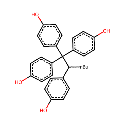 CCCCC(c1ccc(O)cc1)C(c1ccc(O)cc1)(c1ccc(O)cc1)c1ccc(O)cc1